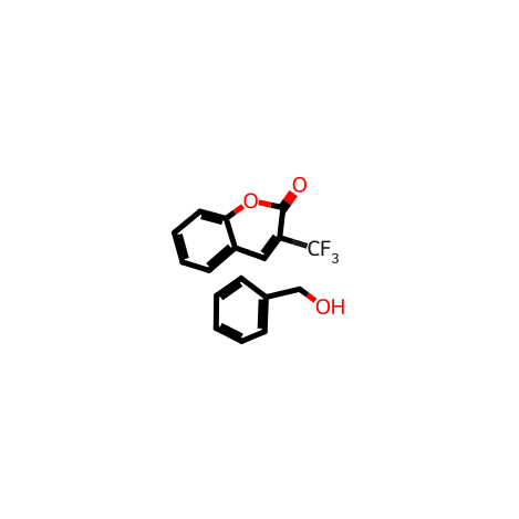 O=c1oc2ccccc2cc1C(F)(F)F.OCc1ccccc1